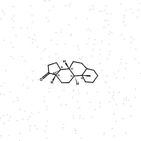 C[C@]12CCCCC1CC[C@H]1[C@@H]3CCC(=O)[C@H]3CC[C@@H]12